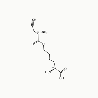 C#CC[C@H](N)C(=O)OCCCC[C@H](N)C(=O)O